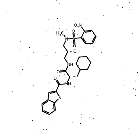 CN(C[C@H](O)CNC(=O)[C@H](CC1CCCCC1)NC(=O)c1cc2ccccc2s1)S(=O)(=O)c1ccccc1[N+](=O)[O-]